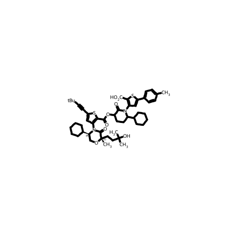 Cc1ccc(-c2cc(N3C(=O)C(OC(=O)c4sc(C#CC(C)(C)C)cc4N4C(=O)[C@](C)(CCC(C)(C)O)OC[C@H]4C4CCCCC4)CCC3C3CCCCC3)c(C(=O)O)s2)cc1